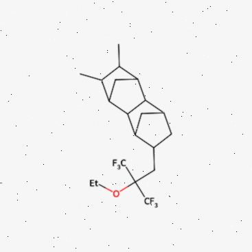 CCOC(CC1CC2CC1C1C3CC(C(C)C3C)C21)(C(F)(F)F)C(F)(F)F